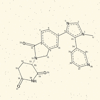 Cn1cnc(-c2ccc3c(c2)CN([C@H]2CCC(=O)NC2=O)C3=O)c1-c1cccnc1